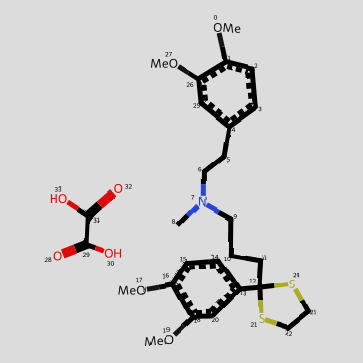 COc1ccc(CCN(C)CCCC2(c3ccc(OC)c(OC)c3)SCCS2)cc1OC.O=C(O)C(=O)O